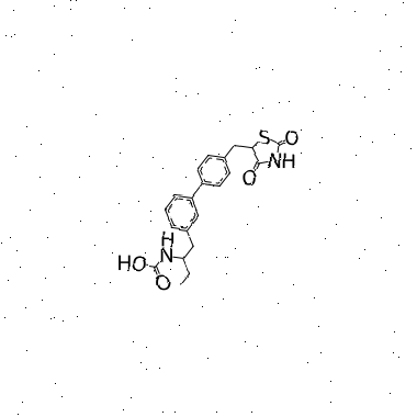 CCC(Cc1cccc(-c2ccc(CC3SC(=O)NC3=O)cc2)c1)NC(=O)O